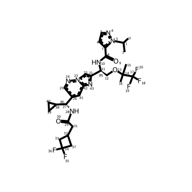 CC(C)n1nccc1C(=O)N[C@@H](COC(C)(C)C(F)(F)F)c1cn2ncc([C@H](NC(=O)CC3CC(F)(F)C3)C3CC3)cc2n1